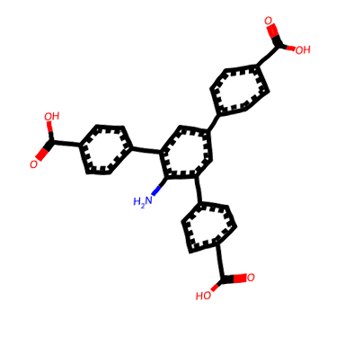 Nc1c(-c2ccc(C(=O)O)cc2)cc(-c2ccc(C(=O)O)cc2)cc1-c1ccc(C(=O)O)cc1